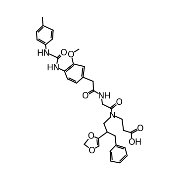 COc1cc(CC(=O)NCC(=O)N(CCC(=O)O)CC(Cc2ccccc2)C2=COCO2)ccc1NC(=O)Nc1ccc(C)cc1